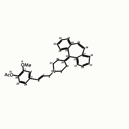 COc1cc(/C=C/CN2CCC(=C3c4ccccc4C=Cc4ccccc43)CC2)ccc1OC(C)=O